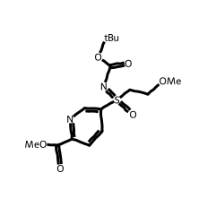 COCCS(=O)(=NC(=O)OC(C)(C)C)c1ccc(C(=O)OC)nc1